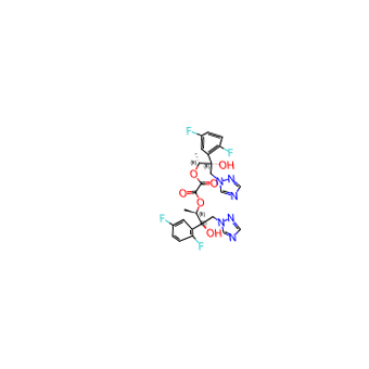 C[C@@H](OC(=O)C(=O)O[C@H](C)[C@](O)(Cn1cncn1)c1cc(F)ccc1F)[C@](O)(Cn1cncn1)c1cc(F)ccc1F